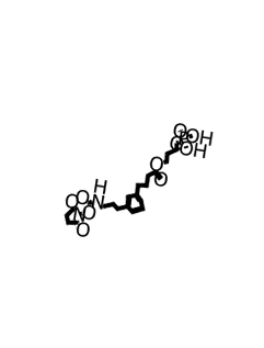 O=C(CCCc1cccc(CCCNC(=O)ON2C(=O)CCC2=O)c1)OCCCOP(=O)(O)O